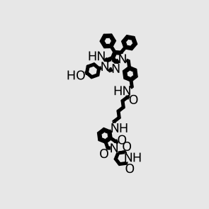 N=c1c2c(-c3ccccc3)c(-c3ccccc3)n(Cc3ccc(CNC(=O)CCCCCNc4cccc5c4C(=O)N(C4CCC(=O)NC4=O)C5=O)cc3)c2ncn1C1CCC(O)CC1